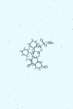 CC(C)(C)OC(=O)NCN(Cc1nn(Cc2ccccc2)c(=O)c2ccc(Cl)cc12)C(=O)c1ccccc1